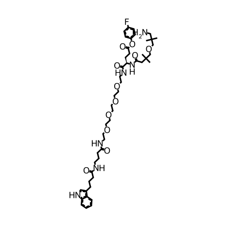 CC(C)(CN)COCC(C)(C)CC(=O)N[C@H](CCC(=O)Oc1ccc(F)cc1)C(=O)NCCOCCOCCOCCOCCNC(=O)CCCNC(=O)CCCc1c[nH]c2ccccc12